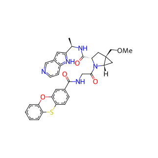 COC[C@@]12C[C@@H]1N(C(=O)CNC(=O)c1ccc3c(c1)Oc1ccccc1S3)[C@H](C(=O)N[C@H](C)c1cc3cnccc3[nH]1)C2